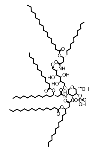 CCCCCCCCCCCCCCCC(=O)O[C@H](CCCCCCCCCCC)CC(=O)N[C@@H](C=O)[C@@H](O)[C@H](O)[C@H](O)CO[C@@H]1O[C@H](CO)[C@@H](OP(=O)(O)O)[C@H](OC(=O)C[C@@H](CCCCCCCCCCC)OC(=O)CCCCCCCCCCCCC)[C@H]1NC(=O)C[C@@H](CCCCCCCCCCC)OC(=O)CCCCCCCCCCC